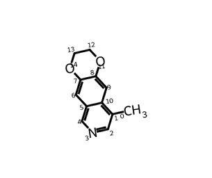 Cc1cncc2cc3c(cc12)OCCO3